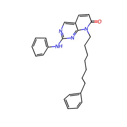 O=c1ccc2cnc(Nc3ccccc3)nc2n1CCCCCCCc1ccccc1